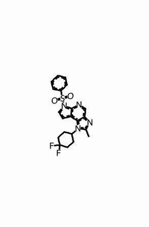 Cc1nc2cnc3c(ccn3S(=O)(=O)c3ccccc3)c2n1C1CCC(F)(F)CC1